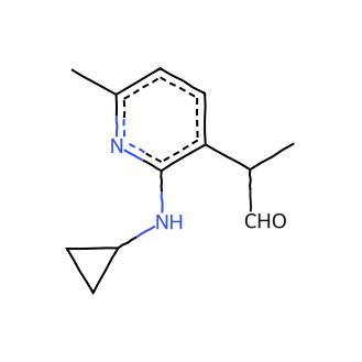 Cc1ccc(C(C)C=O)c(NC2CC2)n1